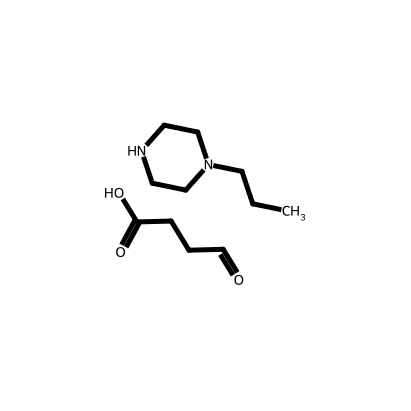 CCCN1CCNCC1.O=CCCC(=O)O